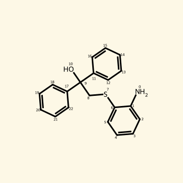 Nc1ccccc1SCC(O)(c1ccccc1)c1ccccc1